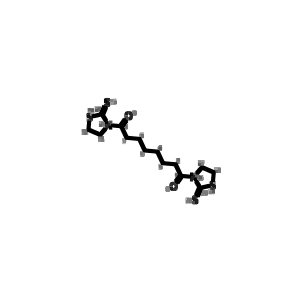 O=C(CCCCCCC(=O)N1CCSC1=S)N1CCSC1=S